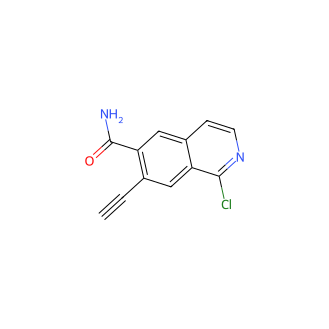 C#Cc1cc2c(Cl)nccc2cc1C(N)=O